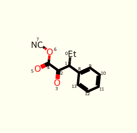 CCC(C(=O)C(=O)OC#N)c1ccccc1